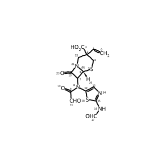 C=CC1(C(=O)O)CS[C@@H]2C(N(C(=O)C=O)c3cnc(NC=O)s3)C(=O)N2C1